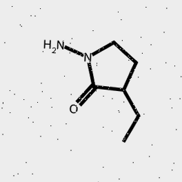 CCC1CCN(N)C1=O